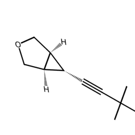 CC(C)(C)C#C[C@@H]1[C@H]2COC[C@@H]12